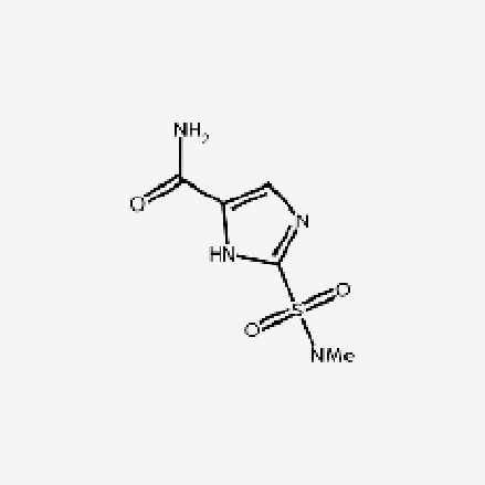 CNS(=O)(=O)c1ncc(C(N)=O)[nH]1